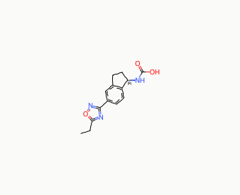 CCc1nc(-c2ccc3c(c2)CC[C@H]3NC(=O)O)no1